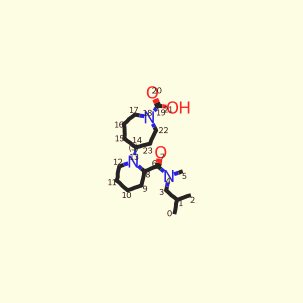 CC(C)CN(C)C(=O)C1CCCCN1[C@H]1CCCN(C(=O)O)CC1